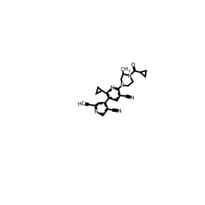 C#Cc1cc(-c2cc(C#N)c(N3CCN(C(=O)C4CC4)C(C)C3)nc2C2CC2)c(C#N)cn1